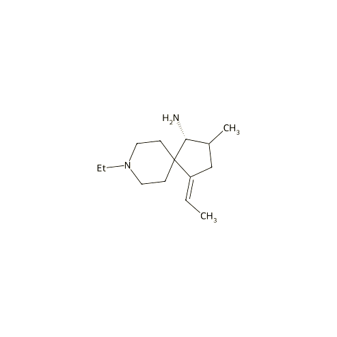 C/C=C1\CC(C)[C@@H](N)C12CCN(CC)CC2